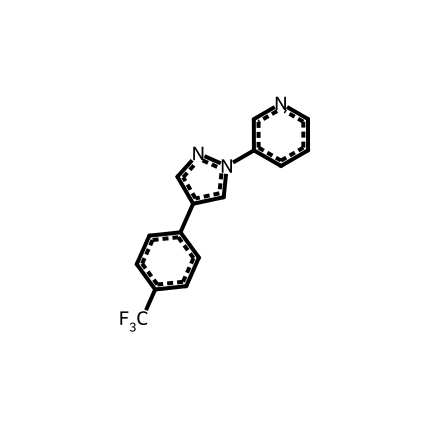 FC(F)(F)c1ccc(-c2cnn(-c3cccnc3)c2)cc1